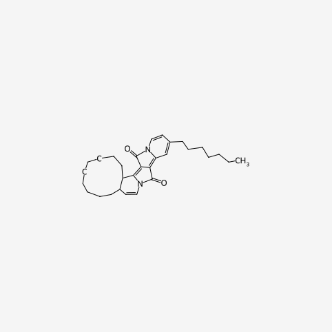 CCCCCCCC1=CC2=C3C(=O)N4C=CC5CCCCCCCCCC5C4=C3C(=O)N2C=C1